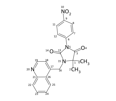 CC1(C)C(=O)N(c2ccc([N+](=O)[O-])cc2)C(=O)N1Cc1ccnc2ccccc12